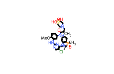 C=C(CN1CCS(O)(O)CC1)C(=O)Nc1ccc(OC)c(Nc2ncc(Cl)c(Nc3ccccc3P(C)(C)=O)n2)c1